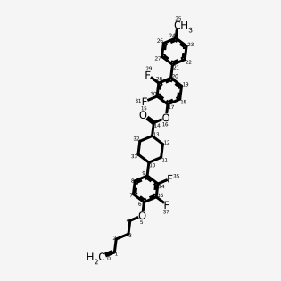 C=CCCCOc1ccc(C2CCC(C(=O)Oc3ccc(-c4ccc(C)cc4)c(F)c3F)CC2)c(F)c1F